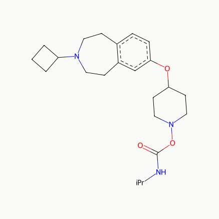 CC(C)NC(=O)ON1CCC(Oc2ccc3c(c2)CCN(C2CCC2)CC3)CC1